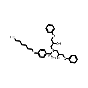 CC[C@H](c1ccc(OCCCCCCO)cc1)N(CC(O)COc1ccccc1)CC(O)COc1ccccc1